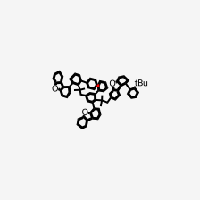 CC(C)(C)c1ccccc1-c1cccc2oc3cc(CC(C)(C)c4c(-c5ccccc5)cc(CC(C)(C)c5c(-c6ccccc6)cccc5-c5cccc6oc7ccccc7c56)cc4-c4cccc5c4oc4ccccc45)ccc3c12